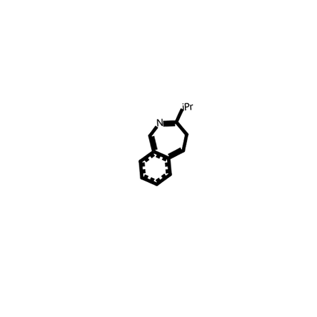 CC(C)C1=NC=c2ccccc2=CC1